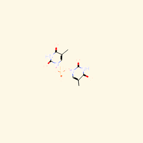 Cc1cn(O[PH](=O)On2cc(C)c(=O)[nH]c2=O)c(=O)[nH]c1=O